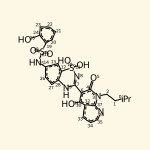 CC(C)CCn1c(=O)c(C2=NS(O)(O)c3cc(NS(=O)(=O)c4ccccc4O)ccc3N2)c(O)c2cccnc21